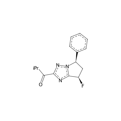 CC(C)C(=O)c1nc2n(n1)[C@@H](c1ccccc1)C[C@H]2F